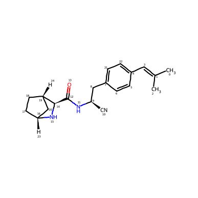 CC(C)=Cc1ccc(C[C@@H](C#N)NC(=O)[C@H]2N[C@@H]3CC[C@H]2C3)cc1